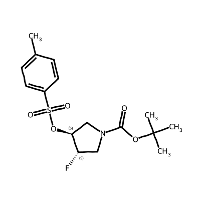 Cc1ccc(S(=O)(=O)O[C@H]2CN(C(=O)OC(C)(C)C)C[C@@H]2F)cc1